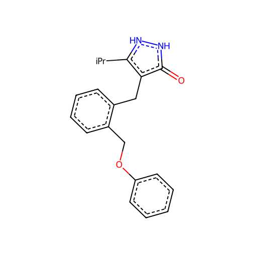 CC(C)c1[nH][nH]c(=O)c1Cc1ccccc1COc1ccccc1